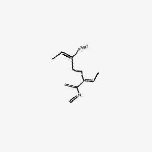 C=NC(=C)/C(=C/C)CC/C(=C\C)CCCCC